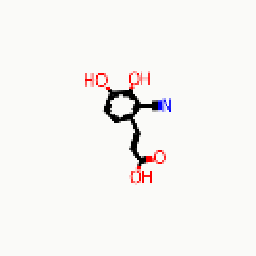 N#Cc1c(/C=C/C(=O)O)ccc(O)c1O